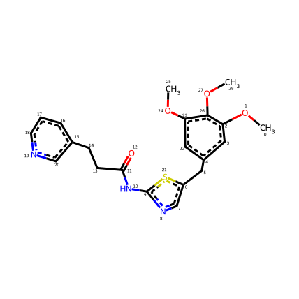 COc1cc(Cc2cnc(NC(=O)CCc3cccnc3)s2)cc(OC)c1OC